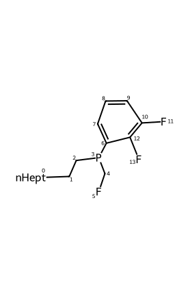 CCCCCCCCCP(CF)c1cccc(F)c1F